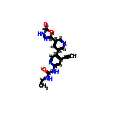 C#Cc1cc(NC(=O)NCC)ncc1-c1cncc(-c2n[nH]c(=O)o2)c1